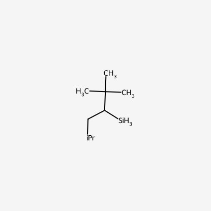 CC(C)CC([SiH3])C(C)(C)C